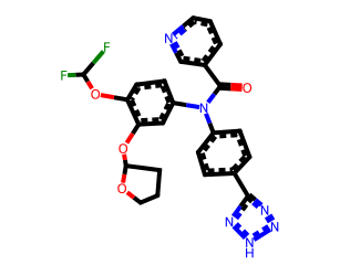 O=C(c1cccnc1)N(c1ccc(-c2nn[nH]n2)cc1)c1ccc(OC(F)F)c(OC2CCCO2)c1